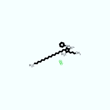 CCCCCCCCCCCCCCCCCCC1C(C)=C(CCCC)[C]([Ti+3])=C1[SiH2]c1ccccc1.[Cl-].[Cl-].[Cl-]